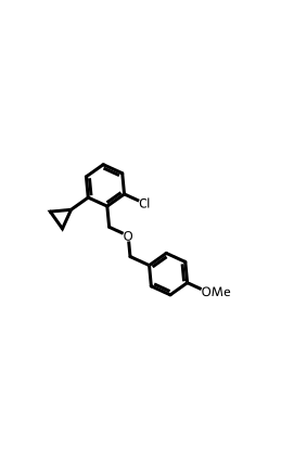 COc1ccc(COCc2c(Cl)cccc2C2CC2)cc1